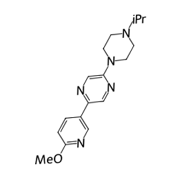 COc1ccc(-c2cnc(N3CCN(C(C)C)CC3)cn2)cn1